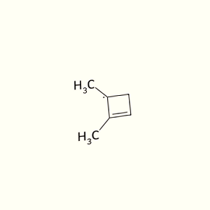 C[C]1CC=C1C